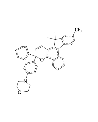 CC1(C)c2cc(C(F)(F)F)ccc2-c2c1c1c(c3ccccc23)OC(c2ccccc2)(c2ccc(N3CCOCC3)cc2)C=C1